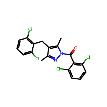 Cc1nn(C(=O)c2c(Cl)cccc2Cl)c(C)c1Cc1c(Cl)cccc1Cl